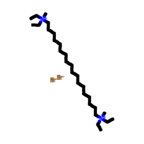 CC[N+](C)(CC)CCCCCCCCCCCCCCCCCC[N+](C)(CC)CC.[Br-].[Br-]